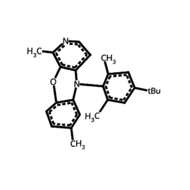 Cc1ccc2c(c1)N(c1c(C)cc(C(C)(C)C)cc1C)c1ccnc(C)c1O2